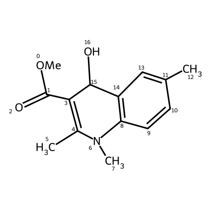 COC(=O)C1=C(C)N(C)c2ccc(C)cc2C1O